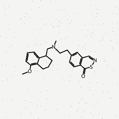 COc1cccc2c1CCCC2CN(C)CCc1ccc2c(=O)sncc2c1